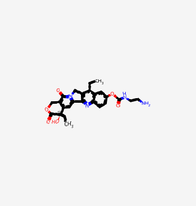 CCc1c2c(nc3ccc(OC(=O)NCCN)cc13)-c1cc3c(c(=O)n1C2)COC(=O)[C@]3(O)CC